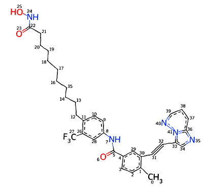 Cc1ccc(C(=O)Nc2ccc(CCCCCCCCCCC(=O)NO)c(C(F)(F)F)c2)cc1C#Cc1cnc2cccnn12